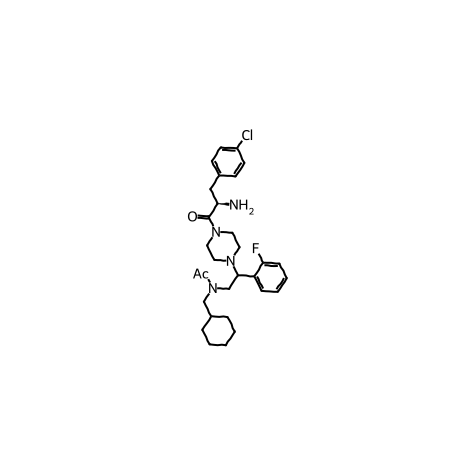 CC(=O)N(CC1CCCCC1)CC(c1ccccc1F)N1CCN(C(=O)[C@H](N)Cc2ccc(Cl)cc2)CC1